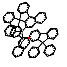 c1ccc(N(c2ccc3c(c2)C(c2ccccc2)(c2ccccc2)c2ccccc2-3)c2ccc3c(c2)C2(c4ccccc4-3)c3ccccc3-c3c2c(N(c2ccccc2)c2ccccc2)cc2ccccc32)cc1